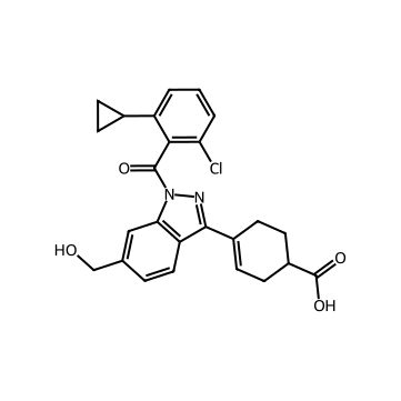 O=C(O)C1CC=C(c2nn(C(=O)c3c(Cl)cccc3C3CC3)c3cc(CO)ccc23)CC1